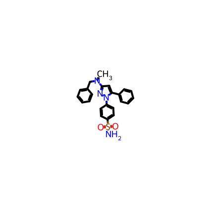 CN(Cc1ccccc1)c1cc(-c2ccccc2)n(-c2ccc(S(N)(=O)=O)cc2)n1